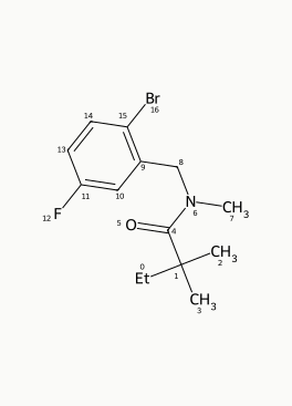 CCC(C)(C)C(=O)N(C)Cc1cc(F)ccc1Br